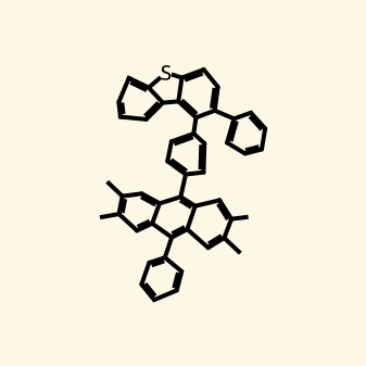 Cc1cc2c(-c3ccccc3)c3cc(C)c(C)cc3c(-c3ccc(-c4c(-c5ccccc5)ccc5sc6ccccc6c45)cc3)c2cc1C